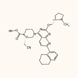 CN1CCC[C@H]1COc1nc(N2CCN(C(=O)OC(C)(C)C)[C@@H](CC#N)C2)c2ccc(-c3cccc4c3CCCC4)nc2n1